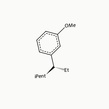 CCC[C@H](C)[C@@H](CC)c1cccc(OC)c1